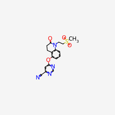 CS(=O)(=O)CCN1C(=O)CCc2c(Oc3cc(C#N)ncn3)cccc21